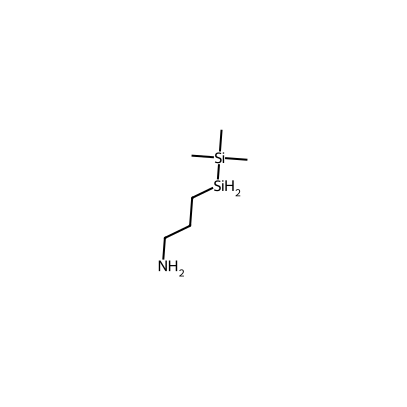 C[Si](C)(C)[SiH2]CCCN